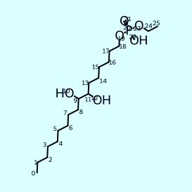 CCCCCCCCCC(O)C(O)CCCCCCOP(=O)(O)OCC